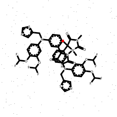 CN1C(=O)C(C)(c2cccc(N(Cc3cncs3)c3ccc(OC(F)F)c(OC(F)F)c3)c2)[N+](C)(N2C(=O)NC(=O)C2c2cccc(N(Cc3cncs3)c3ccc(OC(F)F)c(OC(F)F)c3)c2)C1=O